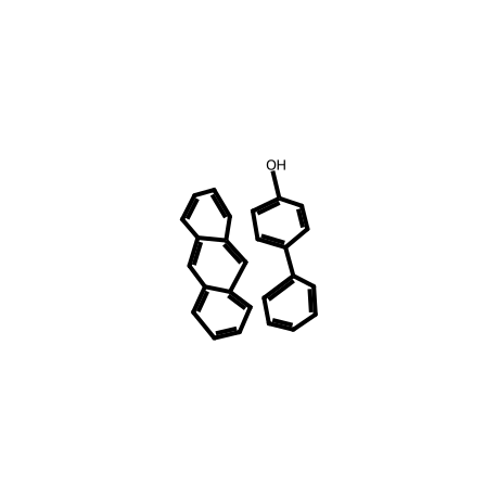 Oc1ccc(-c2ccccc2)cc1.c1ccc2cc3ccccc3cc2c1